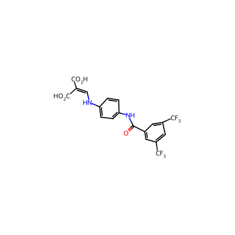 O=C(O)C(=CNc1ccc(NC(=O)c2cc(C(F)(F)F)cc(C(F)(F)F)c2)cc1)C(=O)O